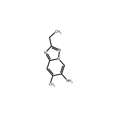 CCc1nc2cc(C)c(N)cn2n1